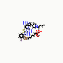 CCCC(C)N1CCC(c2c[nH]c3ccc(NC(=S)Nc4cccc(I)c4Br)nc23)CC1.CCCCCCC(=O)O